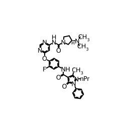 CCCn1c(C)c(C(=O)Nc2ccc(Oc3cc(NC(=O)N4CC[C@@H](N(C)C)C4)ncn3)c(F)c2)c(=O)n1-c1ccccc1